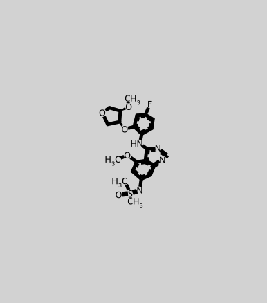 COc1cc(N=S(C)(C)=O)cc2ncnc(Nc3ccc(F)cc3O[C@H]3COC[C@H]3OC)c12